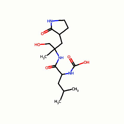 CC(C)CC(NC(=O)O)C(=O)NC(C)(CO)CC1CCNC1=O